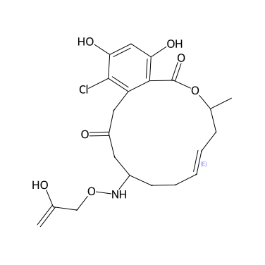 C=C(O)CONC1CC/C=C/CC(C)OC(=O)c2c(O)cc(O)c(Cl)c2CC(=O)C1